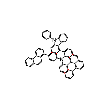 c1ccc(-c2cccc3cccc(-c4ccccc4N(c4ccc(-c5cccc6c5ccc5ccccc56)cc4)c4ccccc4-c4cccc5c4c4ccccc4n5-c4ccccc4)c23)cc1